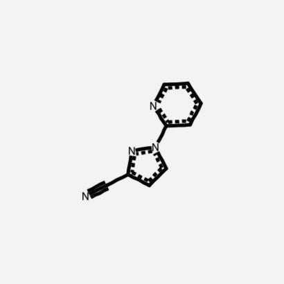 N#Cc1ccn(-c2ccccn2)n1